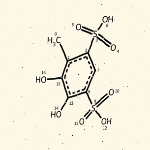 Cc1c(S(=O)(=O)O)cc(S(=O)(=O)O)c(O)c1O